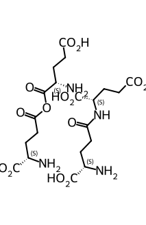 N[C@@H](CCC(=O)N[C@@H](CCC(=O)O)C(=O)O)C(=O)O.N[C@@H](CCC(=O)OC(=O)[C@@H](N)CCC(=O)O)C(=O)O